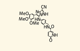 COc1cc(-c2nc3c(C#N)c[nH]n3c2Nc2ccc(CNC(=O)c3ccc(=O)[nH]c3)cc2)cc(OC)c1OC